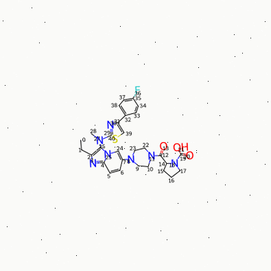 CCc1nc2ccc(N3CCN(C(=O)C4CCCN4C(=O)O)CC3)cn2c1N(C)c1nc(-c2ccc(F)cc2)cs1